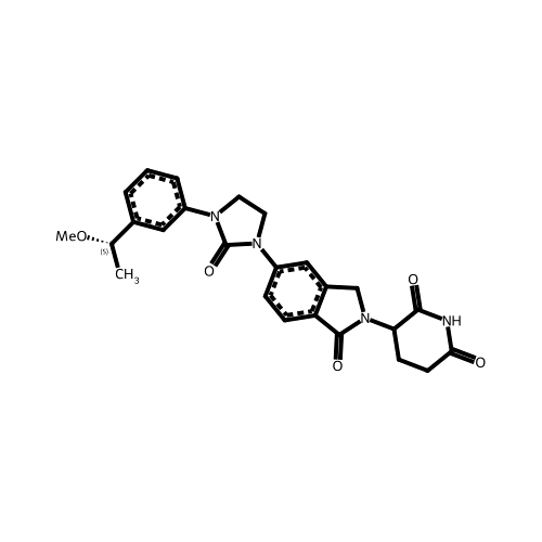 CO[C@@H](C)c1cccc(N2CCN(c3ccc4c(c3)CN(C3CCC(=O)NC3=O)C4=O)C2=O)c1